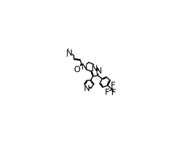 CN(C)C/C=C/C(=O)N1CCn2nc(-c3ccc(C(F)(F)F)cc3)c(-c3ccncc3)c2C1